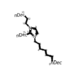 CCCCCCCCCCCCCCCC[n+]1ccn(CCCCCCCCCCCC)c1CCCCCCCCCC